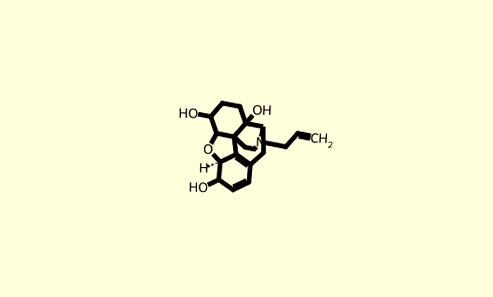 C=CCN1CCC23C4=C5C=CC(O)[C@H]4OC2C(O)CCC3(O)C1C5